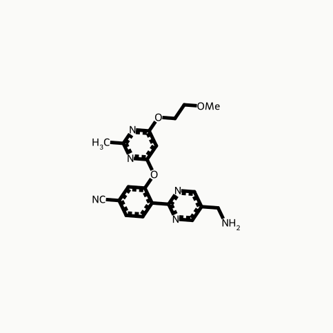 COCCOc1cc(Oc2cc(C#N)ccc2-c2ncc(CN)cn2)nc(C)n1